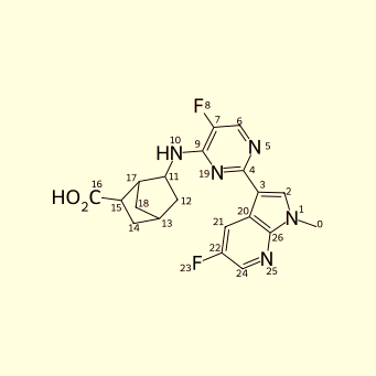 Cn1cc(-c2ncc(F)c(NC3CC4CC(C(=O)O)C3C4)n2)c2cc(F)cnc21